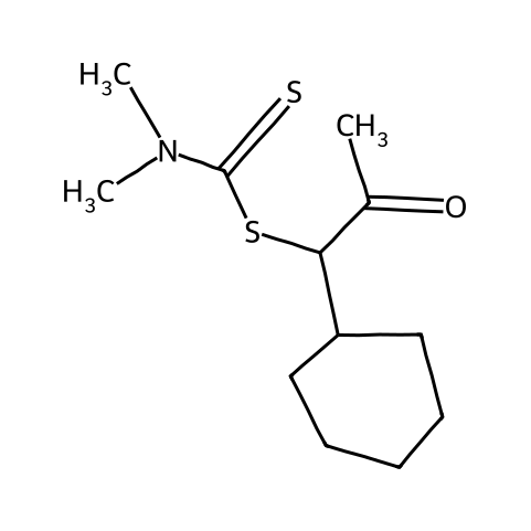 CC(=O)C(SC(=S)N(C)C)C1CCCCC1